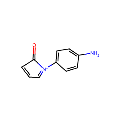 Nc1ccc([N+]2=CC=CC2=O)cc1